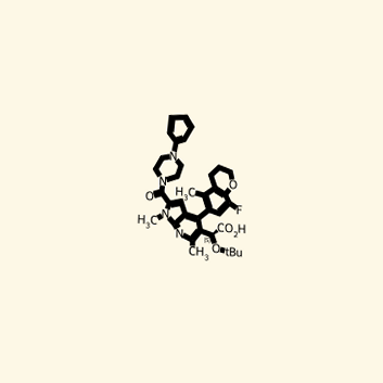 Cc1nc2c(cc(C(=O)N3CCN(c4ccccc4)CC3)n2C)c(-c2cc(F)c3c(c2C)CCCO3)c1[C@H](OC(C)(C)C)C(=O)O